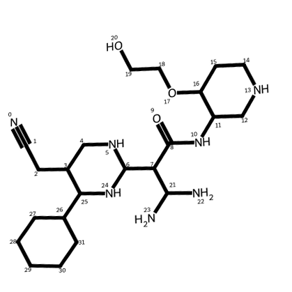 N#CCC1CNC(C(C(=O)NC2CNCCC2OCCO)C(N)N)NC1C1CCCCC1